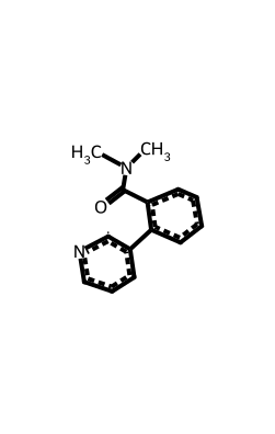 CN(C)C(=O)c1ccccc1-c1[c]nccc1